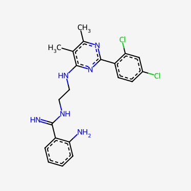 Cc1nc(-c2ccc(Cl)cc2Cl)nc(NCCNC(=N)c2ccccc2N)c1C